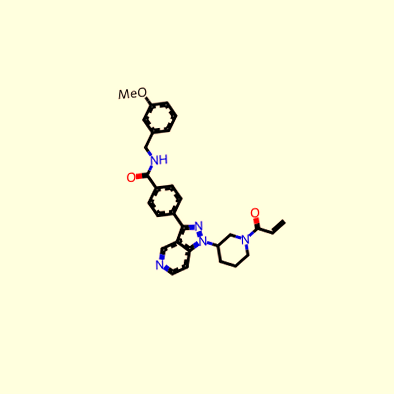 C=CC(=O)N1CCCC(n2nc(-c3ccc(C(=O)NCc4cccc(OC)c4)cc3)c3cnccc32)C1